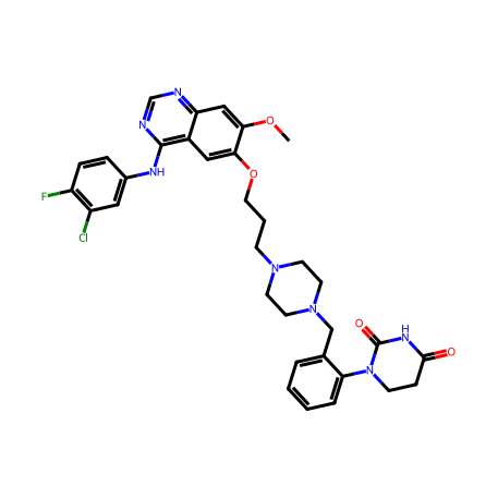 COc1cc2ncnc(Nc3ccc(F)c(Cl)c3)c2cc1OCCCN1CCN(Cc2ccccc2N2CCC(=O)NC2=O)CC1